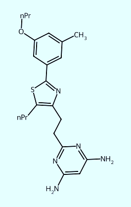 CCCOc1cc(C)cc(-c2nc(CCc3nc(N)cc(N)n3)c(CCC)s2)c1